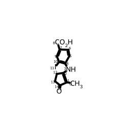 CC1=C(Nc2ccc(C(=O)O)cc2I)CCC1=O